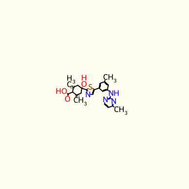 Cc1cc(Nc2nccc(C)n2)cc(-c2cnc(C3(O)C[C@@H](C)C(C(=O)O)[C@@H](C)C3)s2)c1